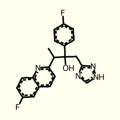 CC(c1ccc2cc(F)ccc2n1)C(O)(Cc1nc[nH]n1)c1ccc(F)cc1